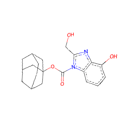 O=C(OC12CC3CC(CC(C3)C1)C2)n1c(CO)nc2c(O)cccc21